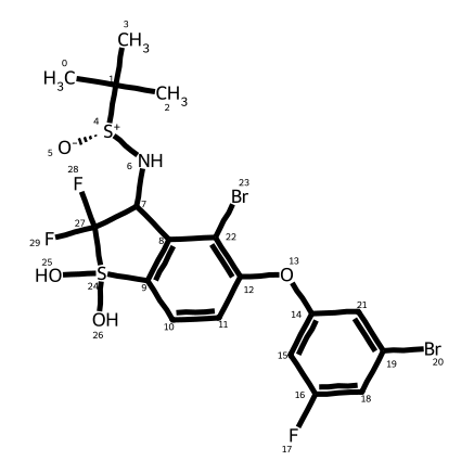 CC(C)(C)[S@@+]([O-])NC1c2c(ccc(Oc3cc(F)cc(Br)c3)c2Br)S(O)(O)C1(F)F